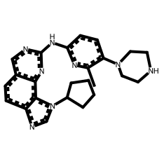 Cc1nc(Nc2ncc3ccc4ncn(C5CCCC5)c4c3n2)ccc1N1CCNCC1